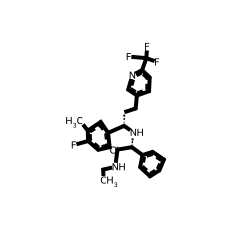 CCNC(=O)[C@H](N[C@@H](CCc1ccc(C(F)(F)F)nc1)c1ccc(F)c(C)c1)c1ccccc1